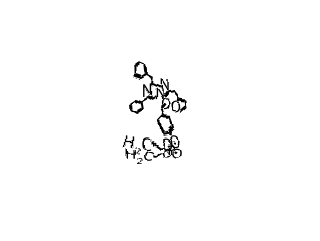 C=CCOP(=O)(OCC=C)Oc1ccc(COc2c(Cc3ccco3)nc3c(Cc4ccccc4)nc(-c4ccccc4)cn23)cc1